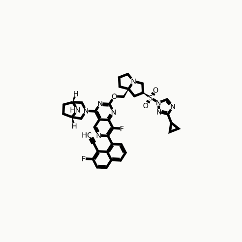 C#Cc1c(F)ccc2cccc(-c3ncc4c(N5C[C@H]6CC[C@@H](C5)N6)nc(OC[C@@]56CCCN5C[C@@H](S(=O)(=O)n5cnc(C7CC7)n5)C6)nc4c3F)c12